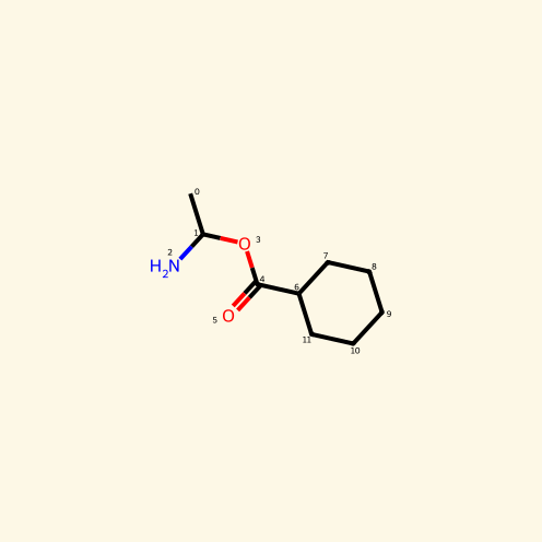 CC(N)OC(=O)C1CCCCC1